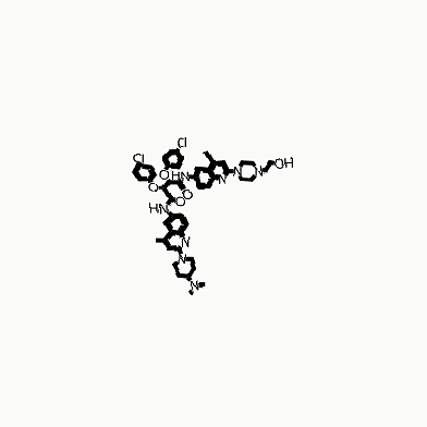 Cc1cc(N2CCC(N(C)C)CC2)nc2ccc(NC(=O)C(Oc3ccc(Cl)cc3)C(Oc3ccc(Cl)cc3)C(=O)Nc3ccc4nc(N5CCN(CCO)CC5)cc(C)c4c3)cc12